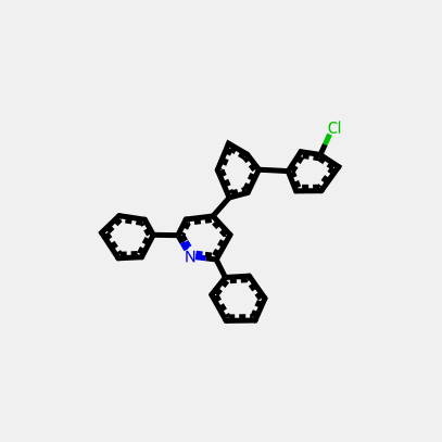 Clc1cccc(-c2cccc(-c3cc(-c4ccccc4)nc(-c4ccccc4)c3)c2)c1